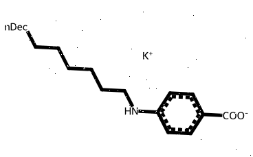 CCCCCCCCCCCCCCCCNc1ccc(C(=O)[O-])cc1.[K+]